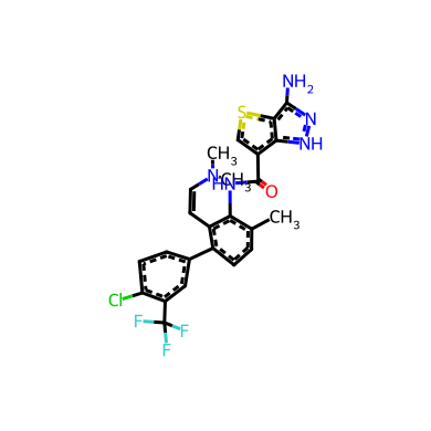 Cc1ccc(-c2ccc(Cl)c(C(F)(F)F)c2)c(/C=C\N(C)C)c1NC(=O)c1csc2c(N)n[nH]c12